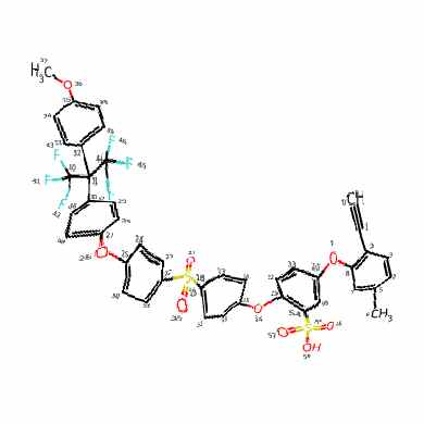 C#Cc1ccc(C)cc1Oc1ccc(Oc2ccc(S(=O)(=O)c3ccc(Oc4ccc(C(c5ccc(OC)cc5)(C(F)(F)F)C(F)(F)F)cc4)cc3)cc2)c(S(=O)(=O)O)c1